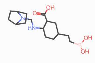 O=C(O)C1CC(CCB(O)O)CCC1NCN1C2CCC1CC2